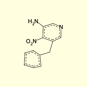 Nc1cncc(Cc2ccccc2)c1[N+](=O)[O-]